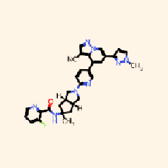 Cn1ccc(-c2cc(-c3ccc(N4C[C@@H]5CC(C)(NC(=O)c6ncccc6F)C[C@@H]5C4)nc3)c3c(C#N)cnn3c2)n1